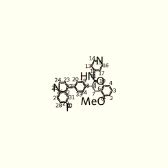 COc1ccccc1CC(C(=O)Nc1ccncc1)c1ccc(-c2ccnc3ccc(F)cc23)cc1